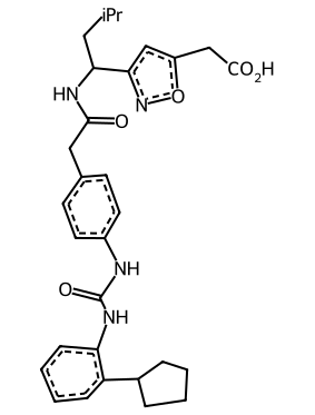 CC(C)CC(NC(=O)Cc1ccc(NC(=O)Nc2ccccc2C2CCCC2)cc1)c1cc(CC(=O)O)on1